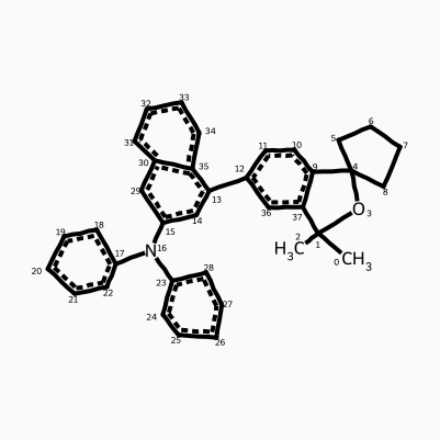 CC1(C)OC2(CCCC2)c2ccc(-c3cc(N(c4ccccc4)c4ccccc4)cc4ccccc34)cc21